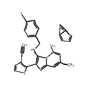 C#Cc1ccsc1-c1nc2cc(C)cc(C)n2c1NCc1ccc(F)cc1.c1cc2cc-2c1